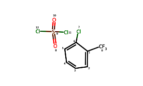 FC(F)(F)c1ccccc1Cl.O=S(=O)(Cl)Cl